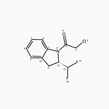 O=C(CCl)N1c2ccccc2C[C@H]1C(F)F